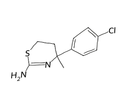 CC1(c2ccc(Cl)cc2)CCSC(N)=N1